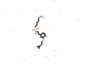 NCCCCCS(=O)(=O)NCCc1ccc(F)c(OCCC2CC2)c1